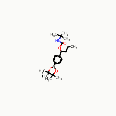 CCCC(OC(=O)NC(C)(C)C)c1ccc(B2OC(C)(C)C(C)(C)O2)cc1